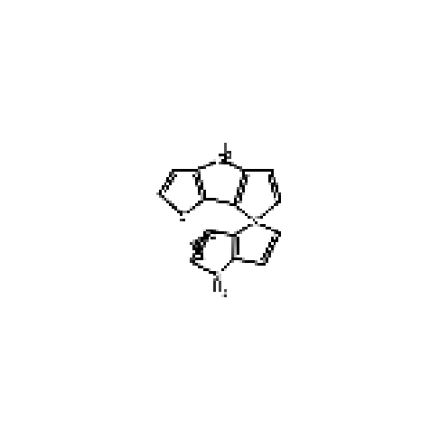 C1=CS2(C=CC3=C2c2sccc2[SiH2]3)C2=C1[SiH2]c1ccsc12